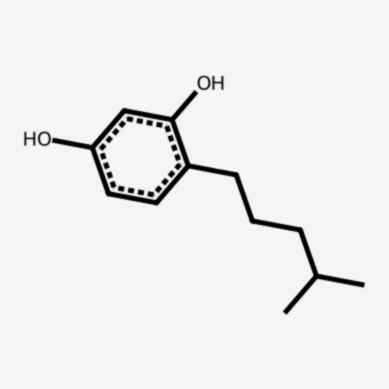 CC(C)CCCc1ccc(O)cc1O